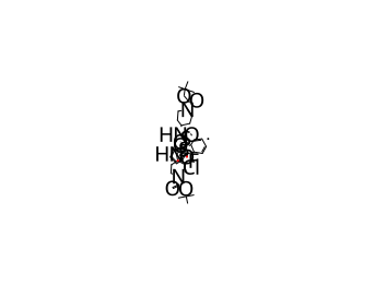 CC(C)(C)OC(=O)N1CCC(NS(=O)(=O)C2(S(=O)(=O)NC3CCN(C(=O)OC(C)(C)C)CC3)C=[C]C=CC2(F)c2ccccc2Cl)CC1